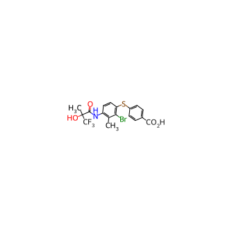 Cc1c(NC(=O)C(C)(O)C(F)(F)F)ccc(Sc2ccc(C(=O)O)cc2)c1Br